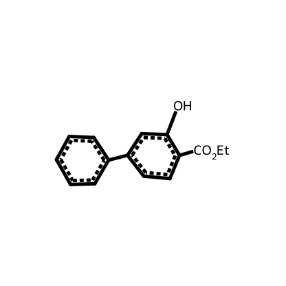 CCOC(=O)c1ccc(-c2ccccc2)cc1O